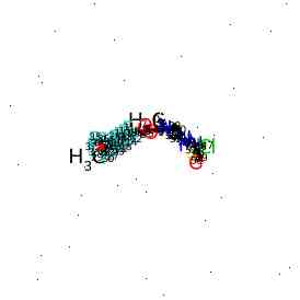 CCN(CCOC(=O)CCC(F)(F)C(F)(F)C(F)(F)C(F)(F)C(F)(F)C(F)(F)C(C)(F)C(F)(F)C(F)(F)F)c1ccc(/N=N/c2nc(Cl)c(C=O)s2)cc1